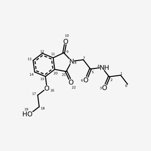 CCC(=O)NC(=O)CN1C(=O)c2cccc(OCCO)c2C1=O